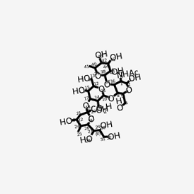 CC(=O)NC1C(O)OC(CO)C(OC2OC(CO)C(O)C(OC3(C(=O)O)CC(O)C(C)C(C(O)[C@H](O)CO)O3)C2O)C1OC1OC(C)C(O)C(O)C1O